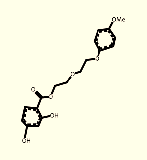 COc1ccc(OCCOCCOC(=O)c2ccc(O)cc2O)cc1